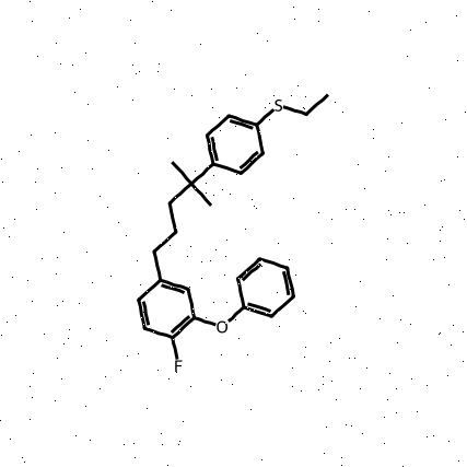 CCSc1ccc(C(C)(C)CCCc2ccc(F)c(Oc3ccccc3)c2)cc1